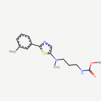 COc1cccc(-c2ncc(N(C=O)CCCNC(=O)OC(C)(C)C)s2)c1